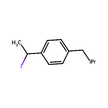 CC(C)Cc1ccc(C(C)I)cc1